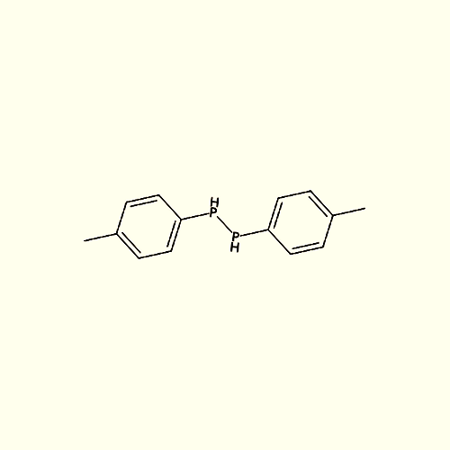 Cc1ccc(PPc2ccc(C)cc2)cc1